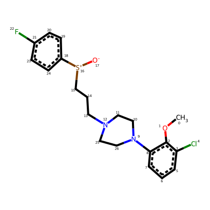 COc1c(Cl)cccc1N1CCN(CCC[S+]([O-])c2ccc(F)cc2)CC1